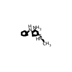 CCNSc1ccc(NC2CC3CCC2C3)c(N)c1